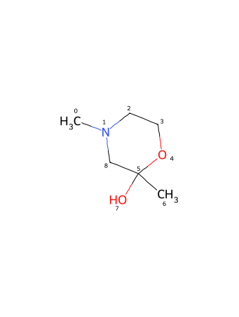 CN1CCOC(C)(O)C1